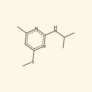 CSc1cc(C)nc(NC(C)C)n1